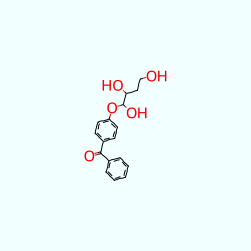 O=C(c1ccccc1)c1ccc(OC(O)C(O)CCO)cc1